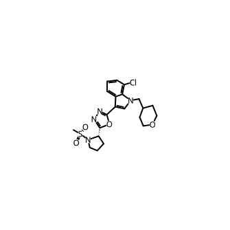 CS(=O)(=O)N1CCC[C@H]1c1nnc(-c2cn(CC3CCOCC3)c3c(Cl)cccc23)o1